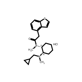 CN(CC1CC1)[C@@H]1CCCC[C@H]1N(C)C(=O)Cc1cccc2sccc12.Cl